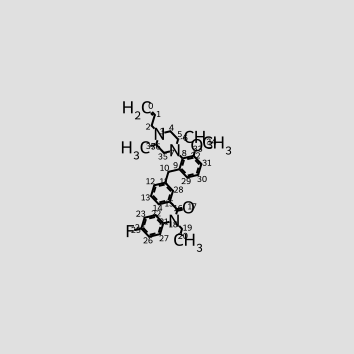 C=CCN1C[C@H](C)N(c2c(Cc3cccc(C(=O)N(CC)c4ccc(F)cc4)c3)cccc2OC)C[C@H]1C